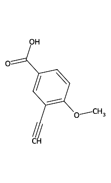 C#Cc1cc(C(=O)O)ccc1OC